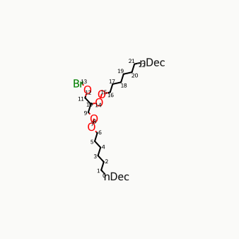 CCCCCCCCCCCCCCCCOOCC(COBr)OOCCCCCCCCCCCCCCCC